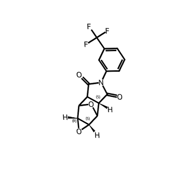 O=C1C2C3OC([C@H]2C(=O)N1c1cccc(C(F)(F)F)c1)[C@@H]1O[C@H]31